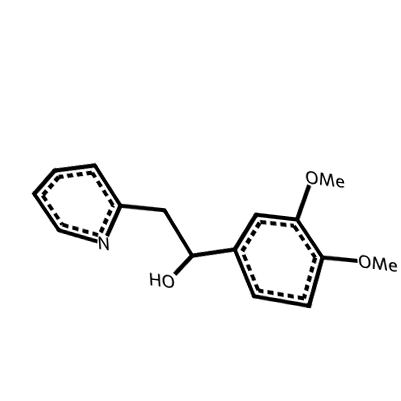 COc1ccc(C(O)Cc2ccccn2)cc1OC